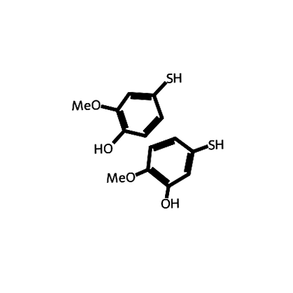 COc1cc(S)ccc1O.COc1ccc(S)cc1O